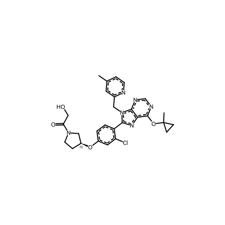 Cc1ccnc(Cn2c(-c3ccc(O[C@H]4CCN(C(=O)CO)C4)cc3Cl)nc3c(OC4(C)CC4)ncnc32)c1